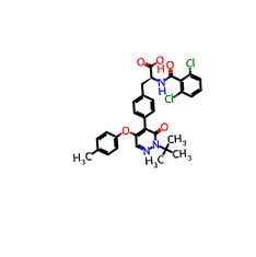 Cc1ccc(Oc2cnn(C(C)(C)C)c(=O)c2-c2ccc(C[C@H](NC(=O)c3c(Cl)cccc3Cl)C(=O)O)cc2)cc1